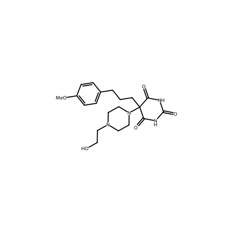 COc1ccc(CCCC2(N3CCN(CCO)CC3)C(=O)NC(=O)NC2=O)cc1